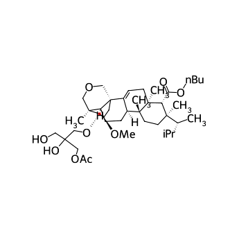 CCCCOC(=O)[C@@H]1[C@@](C)([C@H](C)C(C)C)CC[C@]2(C)[C@H]3CC[C@@H]4[C@@]5(COC[C@]4(C)[C@@H](OCC(O)(CO)COC(C)=O)[C@H](OC)C5)C3=CC[C@@]12C